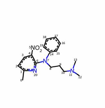 Cc1ccc([N+](=O)[O-])c(N(CCCN(C)C)c2ccccc2)n1